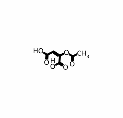 CC(=O)OC(=CC(=O)O)C(=O)O